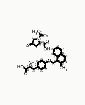 CC(=O)N1CC(=S)C[C@H]1C(=O)O.Cc1ccc2ccccc2c1COc1ccc(C[C@H](N)C(=O)O)cc1